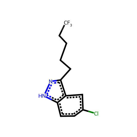 FC(F)(F)CCCCc1n[nH]c2ccc(Cl)cc12